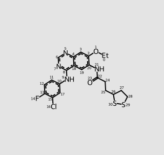 CCOc1cc2ncnc(Nc3ccc(F)c(Cl)c3)c2cc1NC(=O)CCC1CCSS1